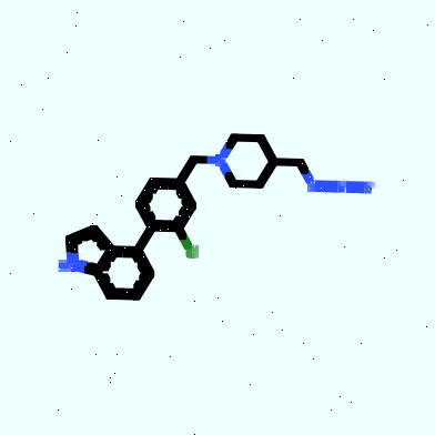 [N-]=[N+]=NCC1CCN(Cc2ccc(-c3cccc4[nH]ccc34)c(Cl)c2)CC1